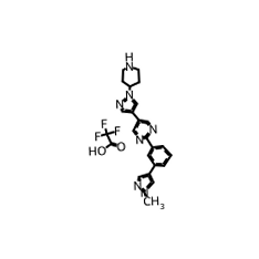 Cn1cc(-c2cccc(-c3ncc(-c4cnn(C5CCNCC5)c4)cn3)c2)cn1.O=C(O)C(F)(F)F